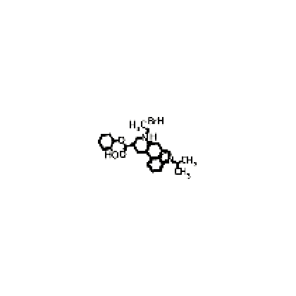 Br.CCN1C[C@H](C(=O)OC2CCCCC2O)CC2c3cccc4c3c(cn4C(C)C)C[C@H]21